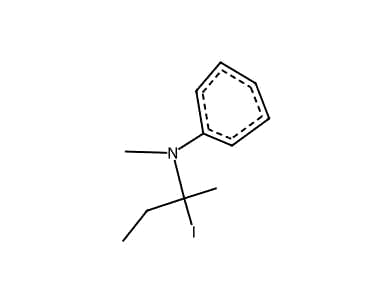 CCC(C)(I)N(C)c1ccccc1